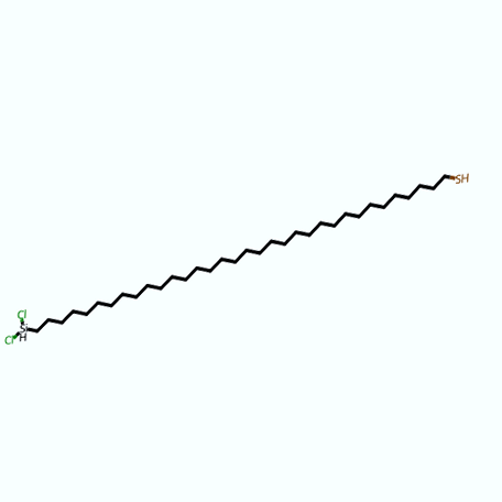 SCCCCCCCCCCCCCCCCCCCCCCCCCCCCCCCCCC[SiH](Cl)Cl